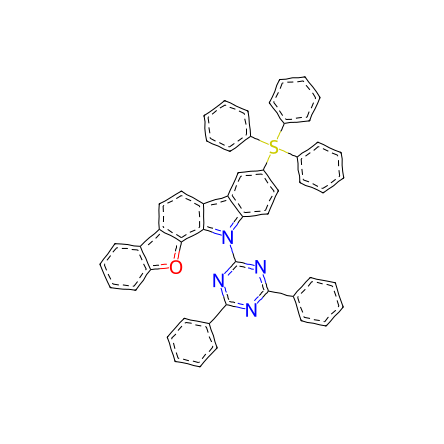 c1ccc(-c2nc(-c3ccccc3)nc(-n3c4ccc(S(c5ccccc5)(c5ccccc5)c5ccccc5)cc4c4ccc5c6ccccc6oc5c43)n2)cc1